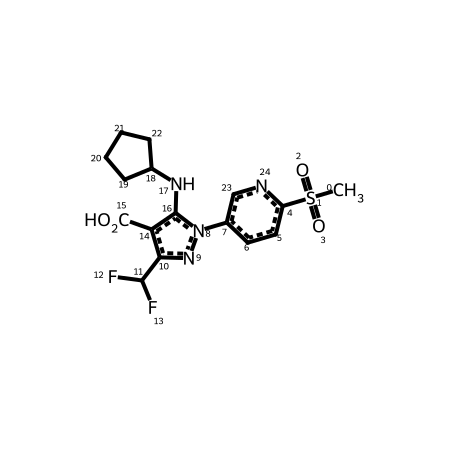 CS(=O)(=O)c1ccc(-n2nc(C(F)F)c(C(=O)O)c2NC2CCCC2)cn1